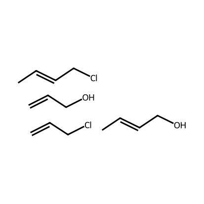 C=CCCl.C=CCO.CC=CCCl.CC=CCO